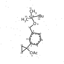 CC(=O)OC1(c2cccc(CO[Si](C)(C)C(C)(C)C)c2)CC1